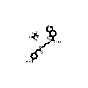 COc1ccc(CC(=O)NCCCn2nc3c(c2C(=O)O)CCc2cnccc2-3)cc1.O=C(O)C(F)(F)F